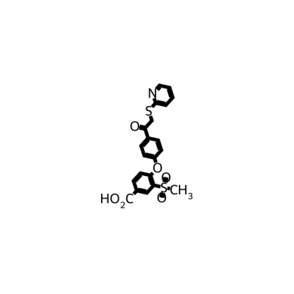 CS(=O)(=O)c1cc(C(=O)O)ccc1Oc1ccc(C(=O)CSc2ccccn2)cc1